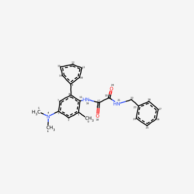 Cc1cc(N(C)C)cc(-c2ccccc2)c1NC(=O)C(=O)NCc1ccccc1